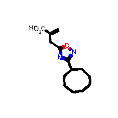 C=C(Cc1nc(C2CCCCCCC2)no1)C(=O)O